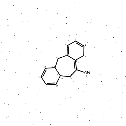 OC1=C2CC=CC=C2CC2C=CC=CC2C1